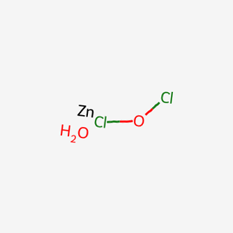 ClOCl.O.[Zn]